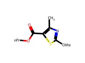 CCCOC(=O)c1sc(OC)nc1C